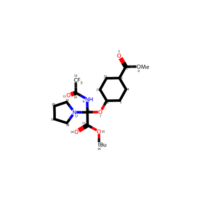 COC(=O)C1CCC(OC(NC(=O)C(F)(F)F)(C(=O)OC(C)(C)C)N2CCCC2)CC1